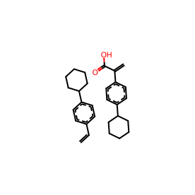 C=C(C(=O)O)c1ccc(C2CCCCC2)cc1.C=Cc1ccc(C2CCCCC2)cc1